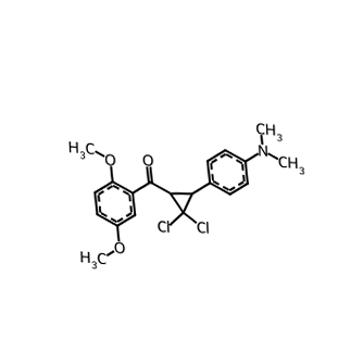 COc1ccc(OC)c(C(=O)C2C(c3ccc(N(C)C)cc3)C2(Cl)Cl)c1